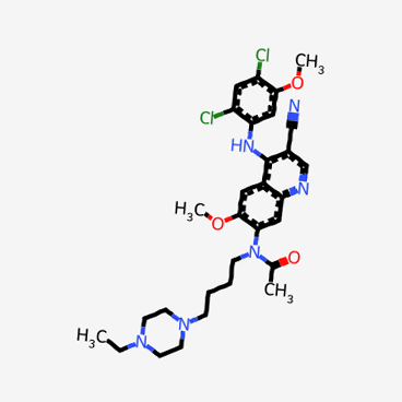 CCN1CCN(CCCCN(C(C)=O)c2cc3ncc(C#N)c(Nc4cc(OC)c(Cl)cc4Cl)c3cc2OC)CC1